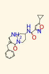 NC[C@H](Cc1ccccc1)C(=O)N1CCC(NC(=O)c2cc(C3CC3)on2)CC1